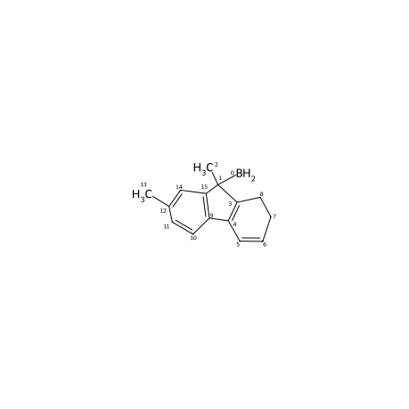 BC1(C)C2=C(C=CCC2)c2ccc(C)cc21